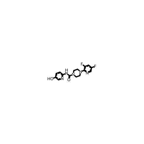 O=C(Nc1ccc(O)cn1)N1CCN(c2ncc(F)cc2F)CC1